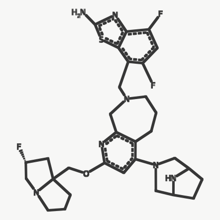 Nc1nc2c(F)cc(F)c(CN3CCCc4c(N5CC6CCC(C5)N6)cc(OCC56CCCN5C[C@H](F)C6)nc4C3)c2s1